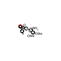 COc1cc2nc(N3CCC(Cc4ccccc4)(C(=O)N4CCCC4c4ccc(C)cc4)CC3)nc(N)c2cc1OC